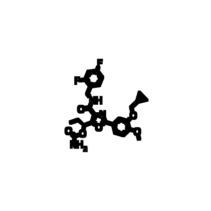 CC[C@H](OC(N)=O)c1oc(-c2ccc(OC)c(OCC3CC3)c2)nc1C(=O)NCc1ccc(F)cc1F